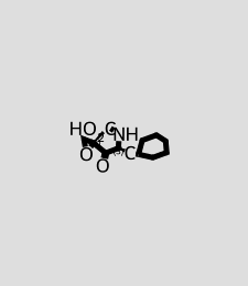 C[C@]1(C(=O)[C@H](CC2CCCCC2)NC(=O)O)CO1